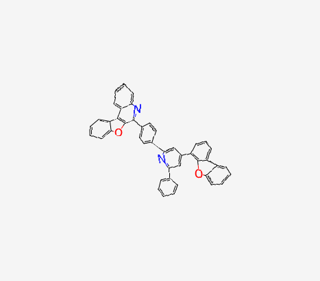 c1ccc(-c2cc(-c3cccc4c3oc3ccccc34)cc(-c3ccc(-c4nc5ccccc5c5c4oc4ccccc45)cc3)n2)cc1